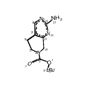 CC(C)(C)OC(=O)N1CCc2cnc(N)nc2C1